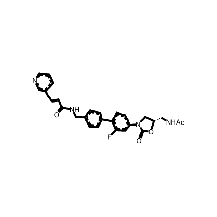 CC(=O)NC[C@H]1CN(c2ccc(-c3ccc(CNC(=O)C=Cc4cccnc4)cc3)c(F)c2)C(=O)O1